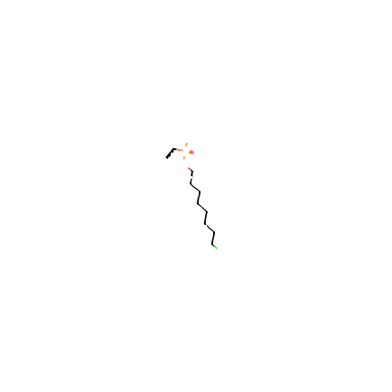 C=CP(=O)(O)OCCCCCCCCCl